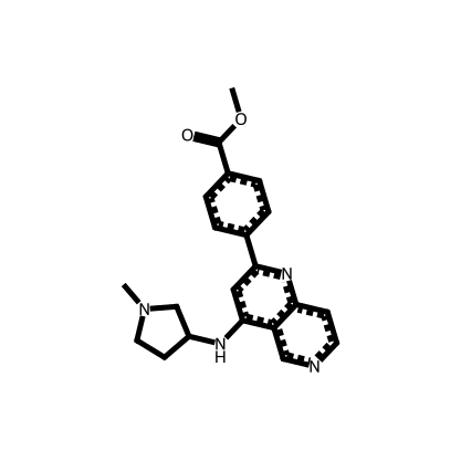 COC(=O)c1ccc(-c2cc(NC3CCN(C)C3)c3cnccc3n2)cc1